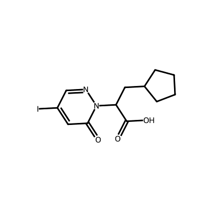 O=C(O)C(CC1CCCC1)n1ncc(I)cc1=O